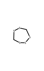 [CH]1SSCSSS1